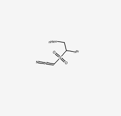 CCCCCCCC(CCC)S(=O)(=O)C=[N+]=[N-]